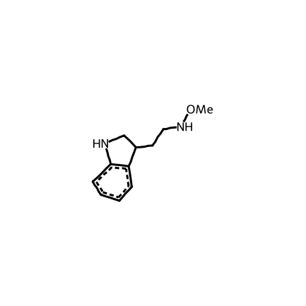 CONCCC1CNc2ccccc21